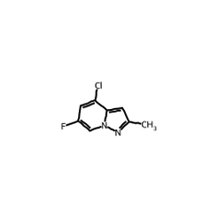 Cc1cc2c(Cl)cc(F)cn2n1